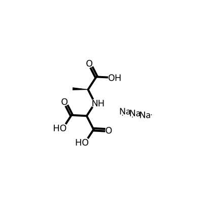 C[C@H](NC(C(=O)O)C(=O)O)C(=O)O.[Na].[Na].[Na]